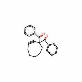 O=C(c1ccccc1)C1(C(=O)c2ccccc2)C#CCCCCC1